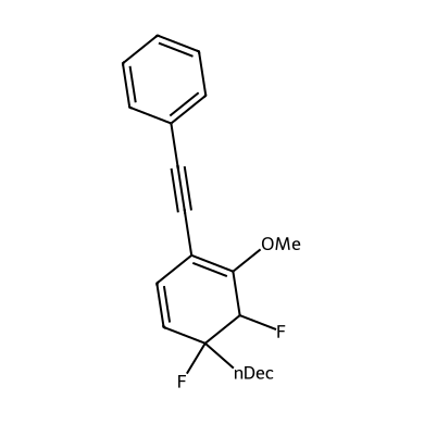 CCCCCCCCCCC1(F)C=CC(C#Cc2ccccc2)=C(OC)C1F